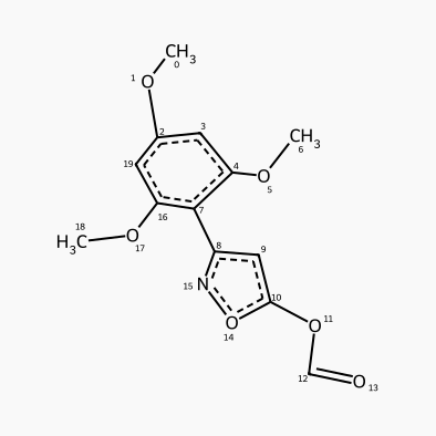 COc1cc(OC)c(-c2cc(OC=O)on2)c(OC)c1